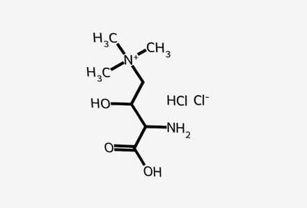 C[N+](C)(C)CC(O)C(N)C(=O)O.Cl.[Cl-]